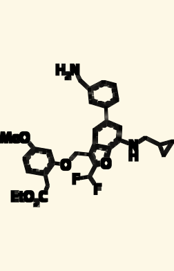 CCOC(=O)Cc1ccc(OC)cc1OCc1c(C(F)F)oc2c(NCC3CC3)cc(-c3cccc(CN)c3)cc12